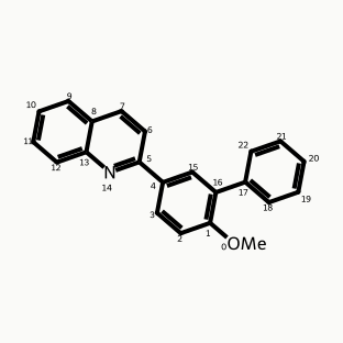 COc1ccc(-c2ccc3ccccc3n2)cc1-c1ccccc1